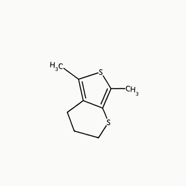 Cc1sc(C)c2c1CCCS2